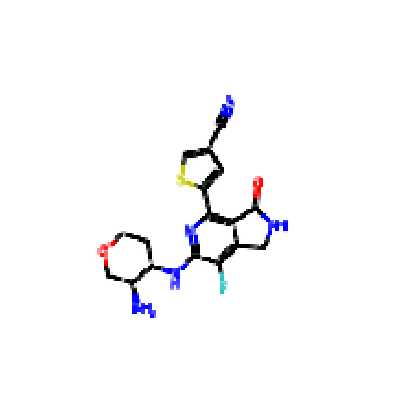 N#Cc1csc(-c2nc(N[C@@H]3CCOC[C@@H]3N)c(F)c3c2C(=O)NC3)c1